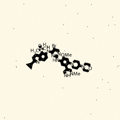 CN/C=C(\C=N)c1cc(Nc2ncc(Br)c(Nc3ccc4nc(C5CC5)ccc4c3P(C)(C)=O)n2)c(OC)cc1N1CCC(N2CCOCC2)CC1